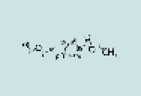 CCOC(=O)c1ccc(CCCO[C]=O)cc1